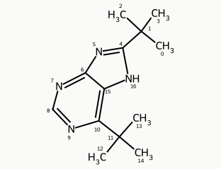 CC(C)(C)c1nc2ncnc(C(C)(C)C)c2[nH]1